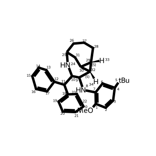 COc1ccc(C(C)(C)C)cc1NC1C(C(c2ccccc2)c2ccccc2)NC2CCC[C@H]3C(C2)[C@@H]13